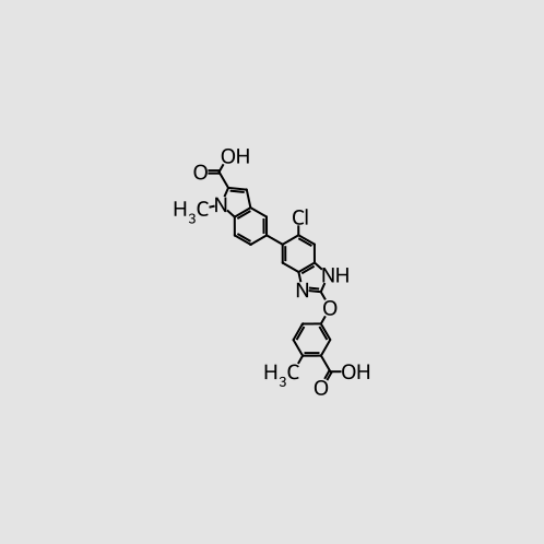 Cc1ccc(Oc2nc3cc(-c4ccc5c(c4)cc(C(=O)O)n5C)c(Cl)cc3[nH]2)cc1C(=O)O